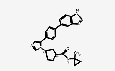 CC1(NC(=O)[C@H]2CC[C@@H](n3cncc3-c3ccc(-c4ccc5[nH]nnc5c4)cc3)C2)CC1